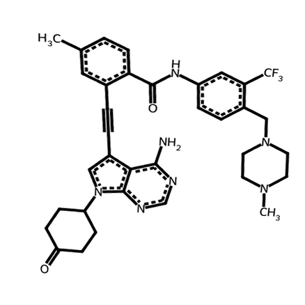 Cc1ccc(C(=O)Nc2ccc(CN3CCN(C)CC3)c(C(F)(F)F)c2)c(C#Cc2cn(C3CCC(=O)CC3)c3ncnc(N)c23)c1